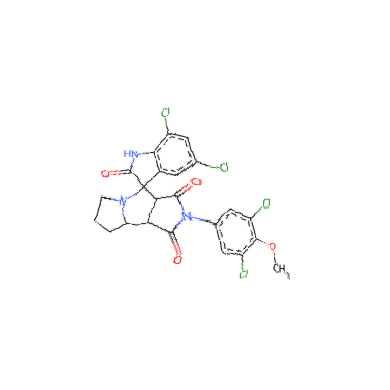 COc1c(Cl)cc(N2C(=O)C3C4CCCN4C4(C(=O)Nc5c(Cl)cc(Cl)cc54)C3C2=O)cc1Cl